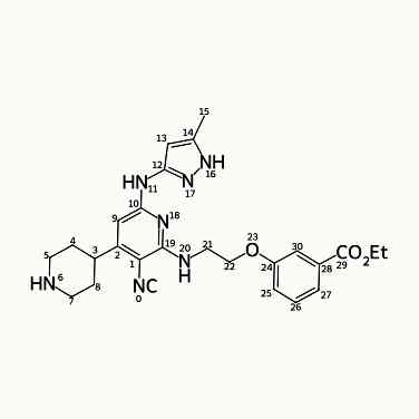 [C-]#[N+]c1c(C2CCNCC2)cc(Nc2cc(C)[nH]n2)nc1NCCOc1cccc(C(=O)OCC)c1